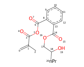 C=C(C)C(=O)OC(=O)c1ccccc1C(=O)OCC(O)CCC